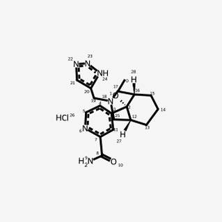 CO[C@@]1(c2ccnc(C(N)=O)c2)[C@@H]2CCC[C@H]1CN(Cc1cnn[nH]1)C2.Cl